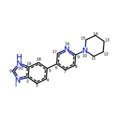 c1nc2ccc(-c3ccc(N4CCCCC4)nc3)cc2[nH]1